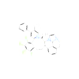 C=C1C2C(CCc3c(F)c(F)c(F)c(F)c3-c3cc(-c4ccccc4)c(C)c[n+]31)c1cccc3c1C1N(C=CN21)CC3